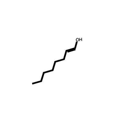 CCCCCC/C=C/O